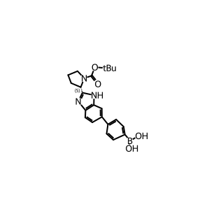 CC(C)(C)OC(=O)N1CCC[C@H]1c1nc2ccc(-c3ccc(B(O)O)cc3)cc2[nH]1